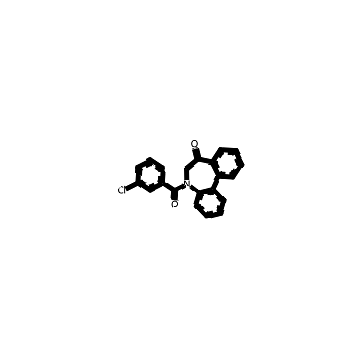 O=C1CN(C(=O)c2cccc(Cl)c2)c2ccccc2-c2ccccc21